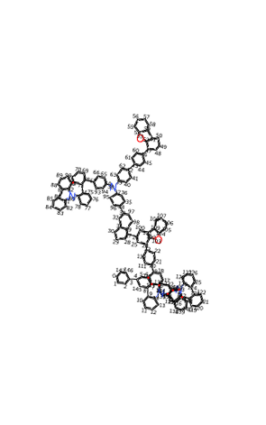 c1ccc(-c2cccc(-c3ccccc3N(c3ccc(-c4ccc(-c5cc(-c6cccc7cc(-c8ccc(N(c9ccc(-c%10ccc(-c%11cccc%12c%11oc%11ccccc%11%12)cc%10)cc9)c9ccc(-c%10ccccc%10-c%10ccccc%10-n%10c%11ccccc%11c%11ccccc%11%10)cc9)cc8)ccc67)cc6c5oc5ccccc56)cc4)cc3)c3ccc(-c4ccccc4-c4ccccc4-n4c5ccccc5c5ccccc54)cc3)c2)cc1